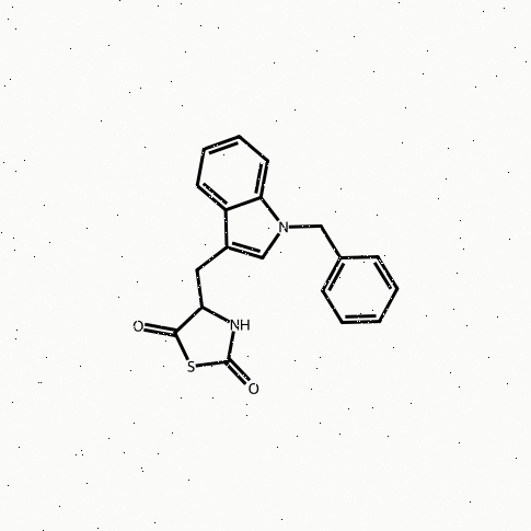 O=C1NC(Cc2cn(Cc3ccccc3)c3ccccc23)C(=O)S1